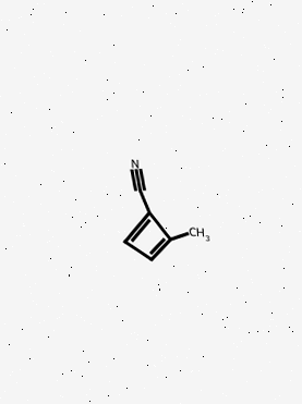 CC1=CC=C1C#N